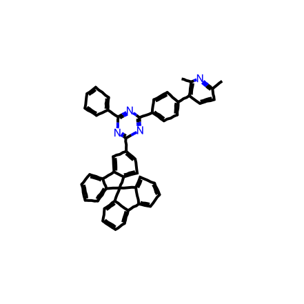 Cc1ccc(-c2ccc(-c3nc(-c4ccccc4)nc(-c4ccc5c(c4)-c4ccccc4C54c5ccccc5-c5ccccc54)n3)cc2)c(C)n1